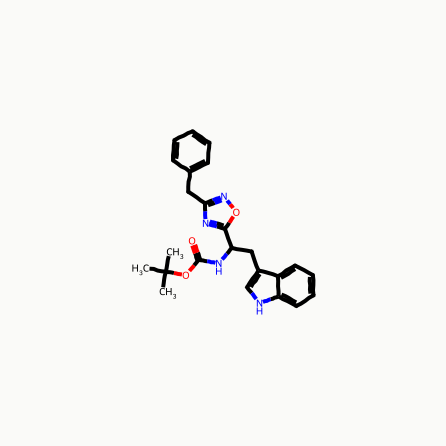 CC(C)(C)OC(=O)NC(Cc1c[nH]c2ccccc12)c1nc(Cc2ccccc2)no1